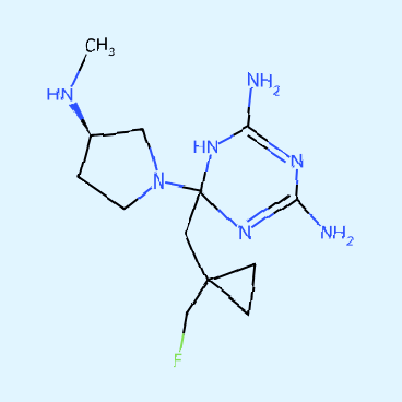 CN[C@@H]1CCN(C2(CC3(CF)CC3)N=C(N)N=C(N)N2)C1